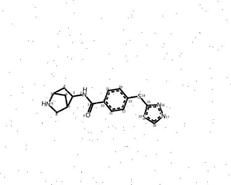 O=C(NC1CC2CC1CN2)c1ccc(Sc2nncs2)cc1